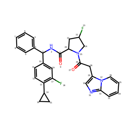 O=C(NC(c1ccccc1)c1ccc(C2CC2)c(F)c1)C1CC(F)CN1C(=O)Cc1cnc2ccccn12